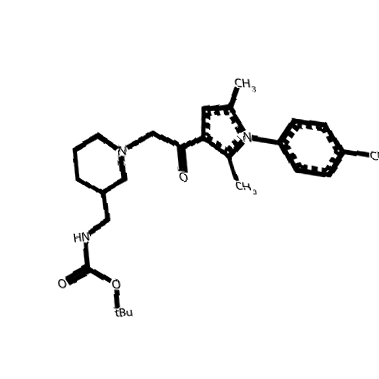 Cc1cc(C(=O)CN2CCCC(CNC(=O)OC(C)(C)C)C2)c(C)n1-c1ccc(C#N)cc1